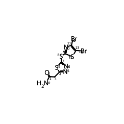 NC(=O)Cc1nnc(Sc2nc(Br)c(Br)s2)s1